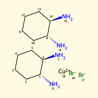 N[C@@H]1CCCC[C@H]1N.N[C@@H]1CCCC[C@H]1N.[Br-].[Br-].[Cu+2]